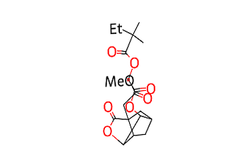 CCC(C)(C)C(=O)OCC(=O)OC1C2CC3C1OC(=O)C3(CC(=O)OC)C2